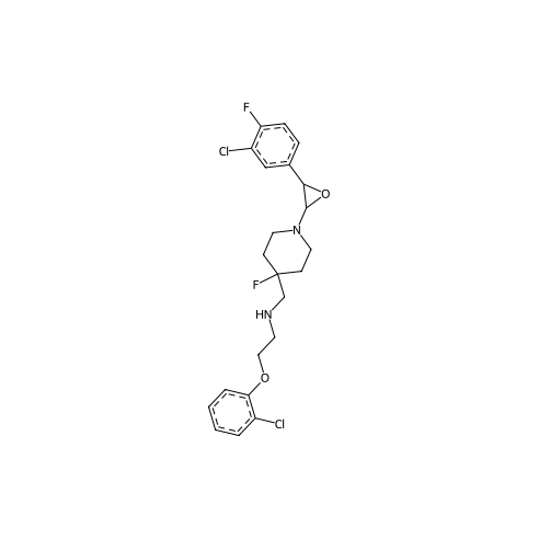 Fc1ccc(C2OC2N2CCC(F)(CNCCOc3ccccc3Cl)CC2)cc1Cl